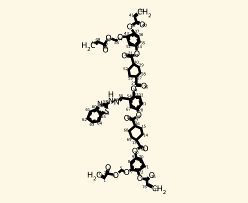 C=CC(=O)OCOc1cc(OC(=O)C2CCC(C(=O)Oc3ccc(OC(=O)C4CCC(C(=O)Oc5ccc(OC(=O)C=C)c(OCOC(=O)C=C)c5)CC4)c(/C=N/Nc4nc5ccccc5s4)c3)CC2)ccc1OC(=O)C=C